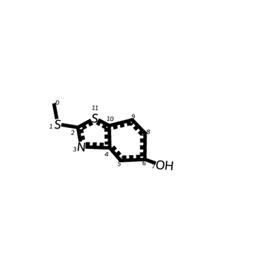 CSc1nc2cc(O)ccc2s1